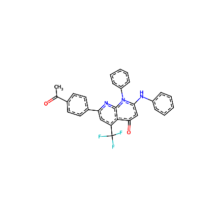 CC(=O)c1ccc(-c2cc(C(F)(F)F)c3c(=O)cc(Nc4ccccc4)n(-c4ccccc4)c3n2)cc1